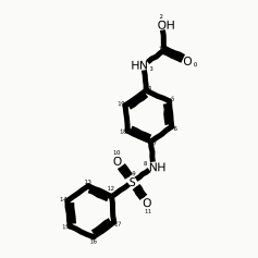 O=C(O)Nc1ccc(NS(=O)(=O)c2ccccc2)cc1